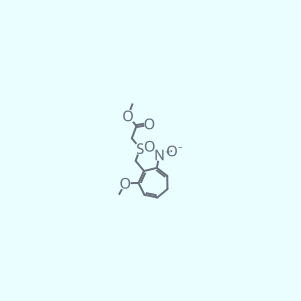 COC(=O)CSCC1=C(OC)C=CCC=C1[N+](=O)[O-]